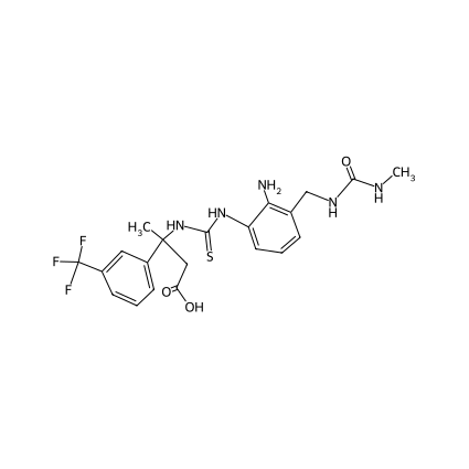 CNC(=O)NCc1cccc(NC(=S)NC(C)(CC(=O)O)c2cccc(C(F)(F)F)c2)c1N